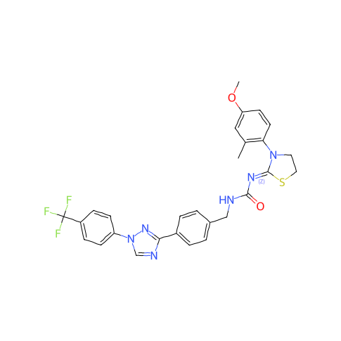 COc1ccc(N2CCS/C2=N\C(=O)NCc2ccc(-c3ncn(-c4ccc(C(F)(F)F)cc4)n3)cc2)c(C)c1